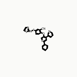 N#Cc1cc(SNc2nccs2)ccc1Oc1cnc(-c2ccccc2)cc1-c1cccnc1